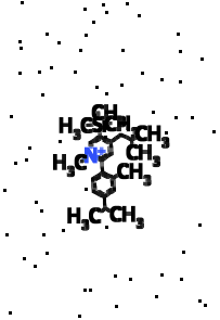 Cc1cc(C(C)C)ccc1-c1cc(CC(C)C)c([Si](C)(C)C)c[n+]1C